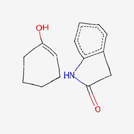 O=C1Cc2ccccc2N1.OC1=CCCCC1